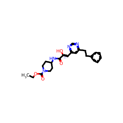 CCOC(=O)N1CCC(NC(=O)/C(O)=C/c2cc(CCc3ccccc3)ncn2)CC1